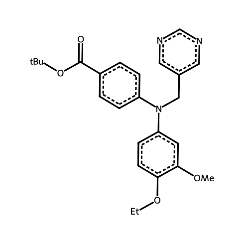 CCOc1ccc(N(Cc2cncnc2)c2ccc(C(=O)OC(C)(C)C)cc2)cc1OC